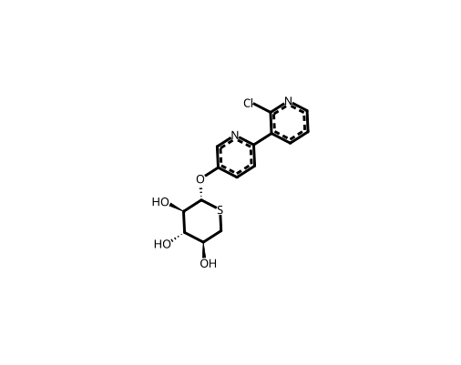 O[C@@H]1[C@@H](O)[C@H](Oc2ccc(-c3cccnc3Cl)nc2)SC[C@H]1O